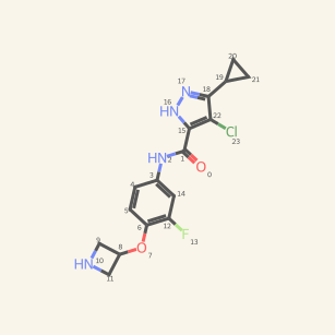 O=C(Nc1ccc(OC2CNC2)c(F)c1)c1[nH]nc(C2CC2)c1Cl